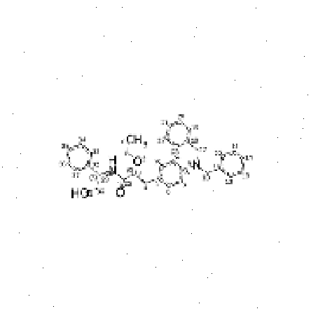 CCO[C@@H](Cc1ccc(N(Cc2ccccc2)Cc2ccccc2)cc1)C(=O)N[C@H](CO)c1ccccc1